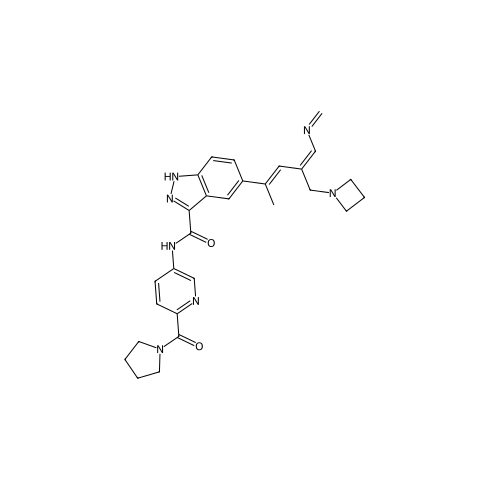 C=N/C=C(\C=C(/C)c1ccc2[nH]nc(C(=O)Nc3ccc(C(=O)N4CCCC4)nc3)c2c1)CN1CCC1